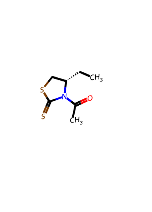 CC[C@H]1CSC(=S)N1C(C)=O